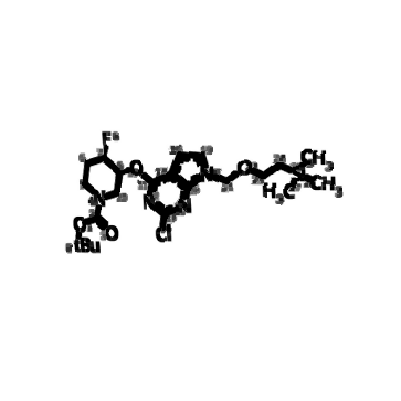 CC(C)(C)OC(=O)N1CC[C@@H](F)[C@@H](Oc2nc(Cl)nc3c2ccn3COCC[Si](C)(C)C)C1